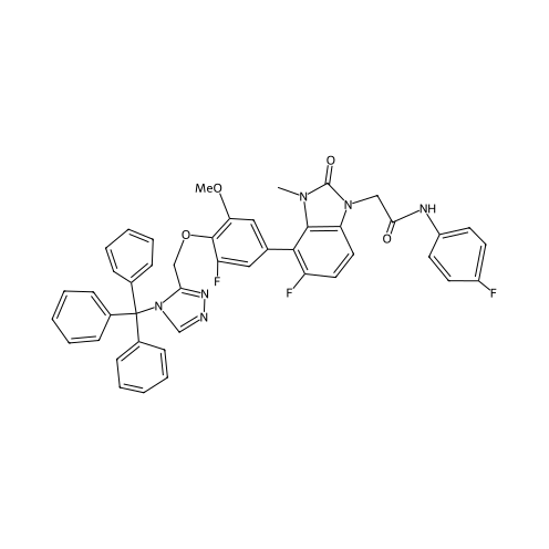 COc1cc(-c2c(F)ccc3c2n(C)c(=O)n3CC(=O)Nc2ccc(F)cc2)cc(F)c1OCc1nncn1C(c1ccccc1)(c1ccccc1)c1ccccc1